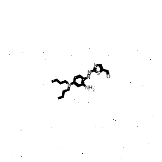 CCCCN(CCCC)c1ccc(N=Nc2ncc(C=O)s2)c(N)c1